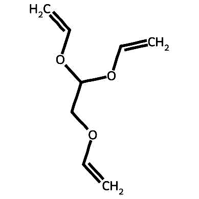 C=COCC(OC=C)OC=C